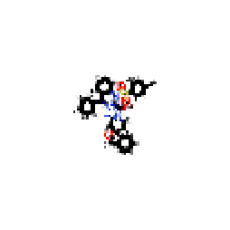 Cc1ccc(S(=O)(=O)Nc2ccccc2C(NCC(=O)N2CCC3(CC2)OCc2ccccc23)c2ccccc2)cc1